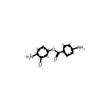 Nc1ccc(C(=O)Oc2ccc(N)c(Cl)c2)cc1